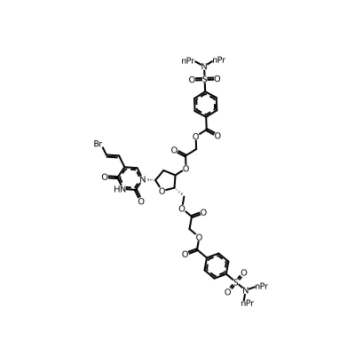 CCCN(CCC)S(=O)(=O)c1ccc(C(=O)OCC(=O)OC[C@@H]2O[C@H](n3cc(/C=C/Br)c(=O)[nH]c3=O)CC2OC(=O)COC(=O)c2ccc(S(=O)(=O)N(CCC)CCC)cc2)cc1